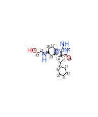 CN1C(=N)N[C@](CCC2CCCCC2)(C[C@H]2CCC[C@@H](NCCO)C2)C1=O